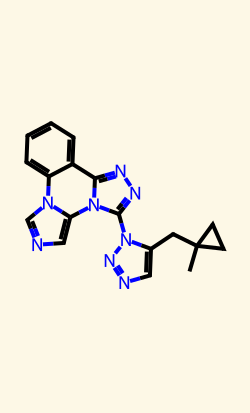 CC1(Cc2cnnn2-c2nnc3c4ccccc4n4cncc4n23)CC1